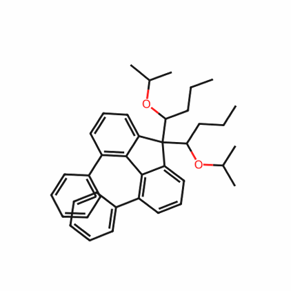 CCCC(OC(C)C)C1(C(CCC)OC(C)C)c2cccc(-c3ccccc3)c2-c2c(-c3ccccc3)cccc21